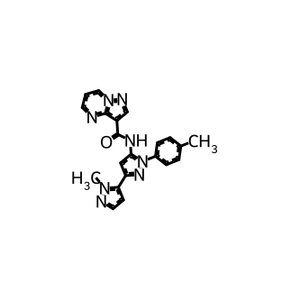 Cc1ccc(-n2nc(-c3ccnn3C)cc2NC(=O)c2cnn3cccnc23)cc1